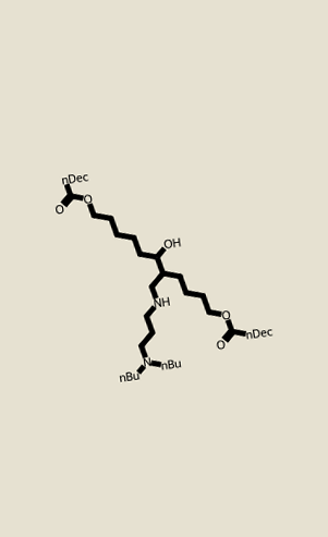 CCCCCCCCCCC(=O)OCCCCCC(O)C(CCCCOC(=O)CCCCCCCCCC)CNCCCN(CCCC)CCCC